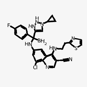 BC(Nc1cc(Cl)c2ncc(C#N)c(NCCc3nccs3)c2c1)(C1=CN(C2CC2)NN1)c1ccc(F)cc1